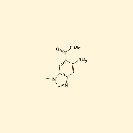 COC(=O)c1cc2c(cc1[N+](=O)[O-])ncn2C